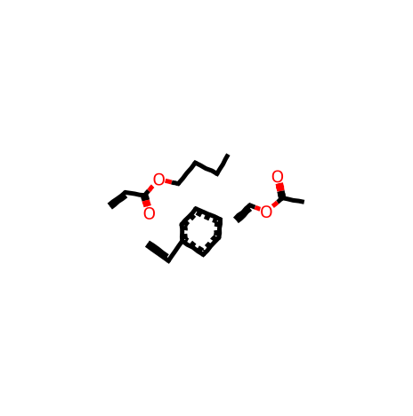 C=CC(=O)OCCCC.C=COC(C)=O.C=Cc1ccccc1